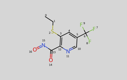 CCSc1cc(C(F)(F)F)cnc1C(=O)N=O